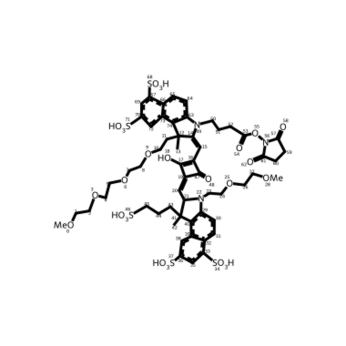 COCCOCCOCCOCCC1(C)/C(=C\C2=C(O)C(=C/C3N(CCOCCOC)c4ccc5c(S(=O)(=O)O)cc(S(=O)(=O)O)cc5c4C3(C)CCCS(=O)(=O)O)/C2=O)N(CCCC(=O)ON2C(=O)CCC2=O)c2ccc3c(S(=O)(=O)O)cc(S(=O)(=O)O)cc3c21